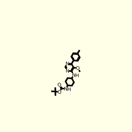 COc1c(NC2CCC(NC(=O)OC(C)(C)C)CC2)ncnc1-c1ccc(C)cc1